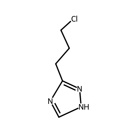 ClCCCc1nc[nH]n1